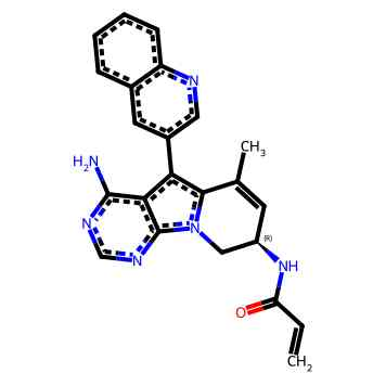 C=CC(=O)N[C@@H]1C=C(C)c2c(-c3cnc4ccccc4c3)c3c(N)ncnc3n2C1